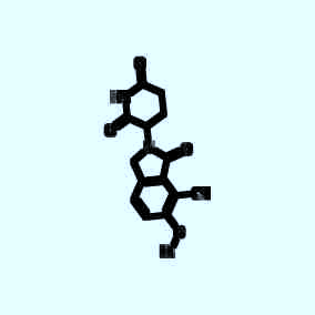 CCOc1ccc2c(c1C#N)C(=O)N(C1CCC(=O)NC1=O)C2